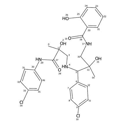 CC(O)(CNC(c1ccc(Cl)cc1)C(C)(O)CNC(=O)c1ccccc1O)C(=O)Nc1ccc(Cl)cc1